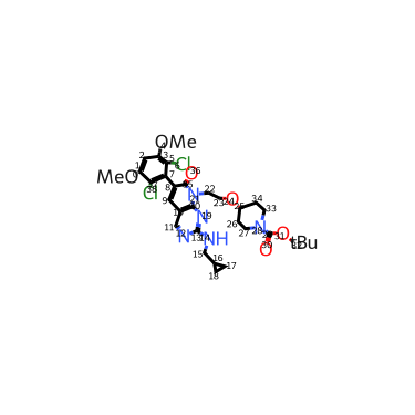 COc1cc(OC)c(Cl)c(-c2cc3cnc(NCC4CC4)nc3n(CCOC3CCN(C(=O)OC(C)(C)C)CC3)c2=O)c1Cl